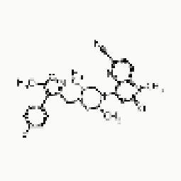 Cc1onc(CN2C[C@H](C)N(c3cc(=O)n(C)c4ccc(C#N)nc34)C[C@H]2C)c1-c1ccc(F)cc1